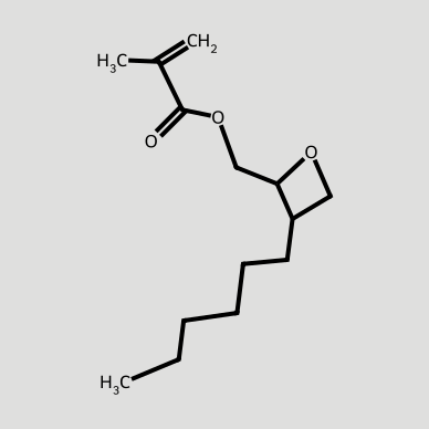 C=C(C)C(=O)OCC1OCC1CCCCCC